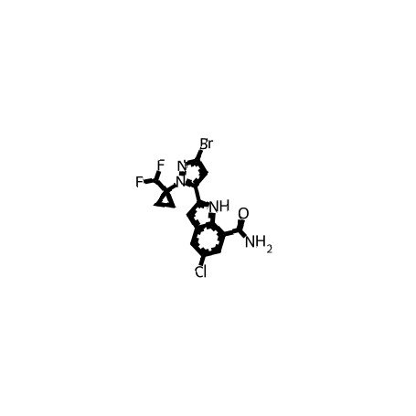 NC(=O)c1cc(Cl)cc2cc(-c3cc(Br)nn3C3(C(F)F)CC3)[nH]c12